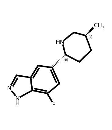 C[C@H]1CC[C@H](c2cc(F)c3[nH]ncc3c2)NC1